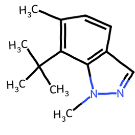 Cc1ccc2cnn(C)c2c1C(C)(C)C